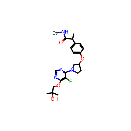 CCNC(=O)C(C)c1ccc(OC2CCN(c3ncnc(OCC(C)(C)O)c3F)C2)cc1